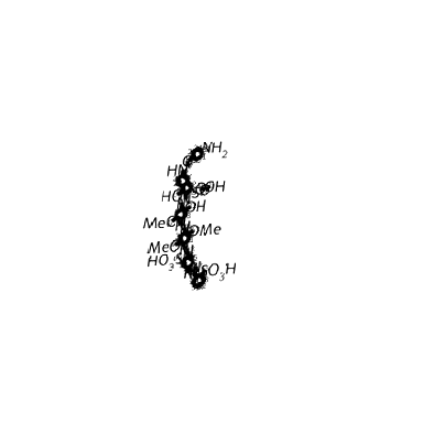 COc1cc(N=Nc2c(SOOO)cc3cc(NCOc4ccc(N)cc4)ccc3c2O)c(O)cc1N=Nc1cc(OC)c(N=Nc2cc3nn(-c4ccccc4S(=O)(=O)O)nc3cc2S(=O)(=O)O)cc1OC